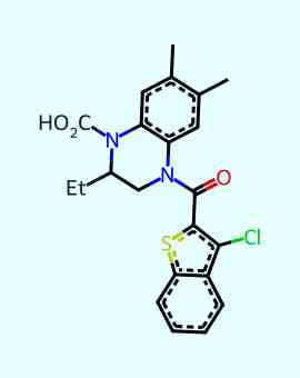 CCC1CN(C(=O)c2sc3ccccc3c2Cl)c2cc(C)c(C)cc2N1C(=O)O